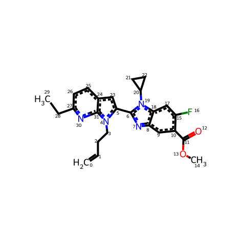 C=CCCn1c(-c2nc3cc(C(=O)OC)c(F)cc3n2C2CC2)cc2ccc(CC)nc21